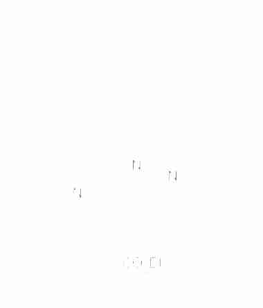 CCOC(=O)c1cnn2c(-c3ccccc3)ccnc12